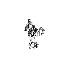 O=C(CCc1cccc(F)c1)Nn1c(N2CCCC2)nc2cc(F)cc(F)c2c1=O